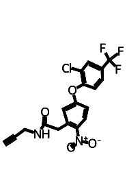 C#CCNC(=O)Cc1cc(Oc2ccc(C(F)(F)F)cc2Cl)ccc1[N+](=O)[O-]